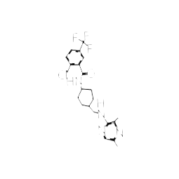 Cc1cnc(NCC2CCC(NC(=O)c3cc(C(F)(F)F)ccc3Cl)CC2)c(C)n1